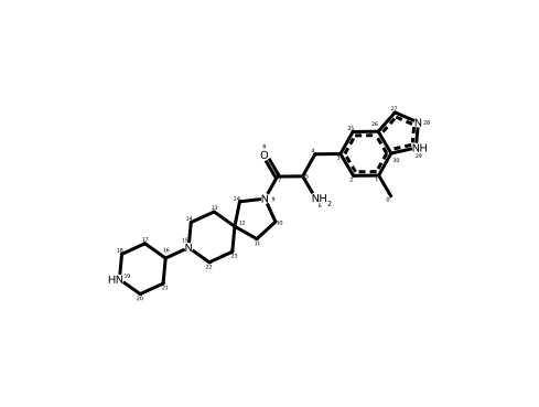 Cc1cc(CC(N)C(=O)N2CCC3(CCN(C4CCNCC4)CC3)C2)cc2cn[nH]c12